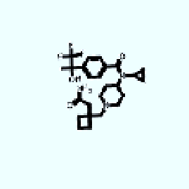 CC(O)(c1ccc(C(=O)N(C2CC2)C2CCN(CC3(CC(N)=O)CCC3)CC2)cc1)C(F)(F)F